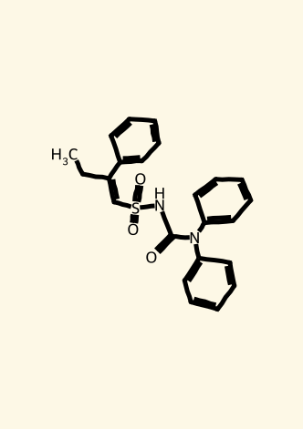 CC/C(=C/S(=O)(=O)NC(=O)N(c1ccccc1)c1ccccc1)c1ccccc1